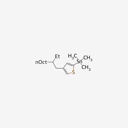 CCCCCCCCC(CC)Cc1cs[c]([Sn]([CH3])([CH3])[CH3])c1